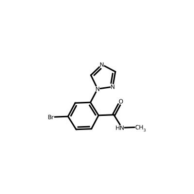 CNC(=O)c1ccc(Br)cc1-n1cncn1